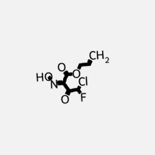 C=CCOC(=O)/C(=N\O)C(=O)C(F)Cl